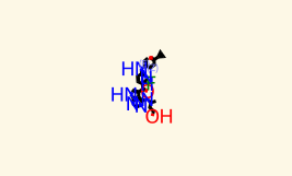 C=C(/C=C\C(=C/C)Nc1ccc(C(=O)c2c[nH]c3ncnc(NC(C)CCO)c23)c(F)n1)C1CC1